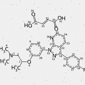 CC(CN(C)C)Oc1cccc(-n2nc(-c3ccc(F)cc3)c3cccnc32)c1.O=C(O)C=CC(=O)O